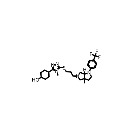 Cn1c(SCCCN2C[C@@H]3N(c4ccc(C(F)(F)F)cc4)CC[C@]3(C)C2)nnc1C1CCC(O)CC1